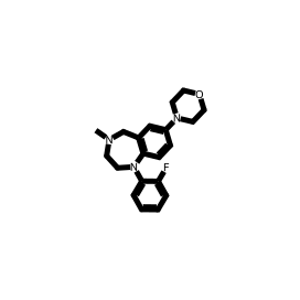 CN1CCN(c2ccccc2F)c2ccc(N3CCOCC3)cc2C1